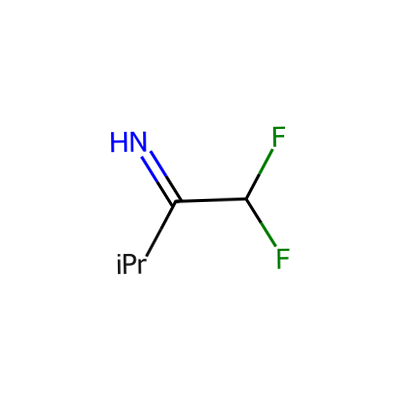 CC(C)C(=N)C(F)F